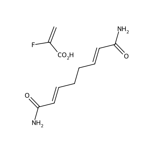 C=C(F)C(=O)O.NC(=O)C=CCCC=CC(N)=O